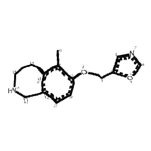 Cc1c(OCc2cnco2)ccc2c1CCNC2